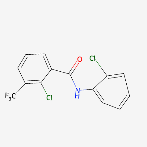 O=C(Nc1ccccc1Cl)c1cccc(C(F)(F)F)c1Cl